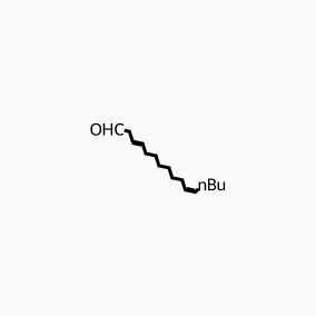 CCCC/C=C\CCCCCC/C=C/CC=O